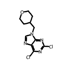 Clc1nc(Cl)c2ncn(CC3CCOCC3)c2n1